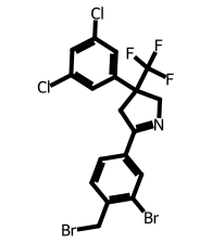 FC(F)(F)C1(c2cc(Cl)cc(Cl)c2)CN=C(c2ccc(CBr)c(Br)c2)C1